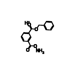 NOC(=O)c1cccc(C(=O)OCc2ccccc2)c1.[H+]